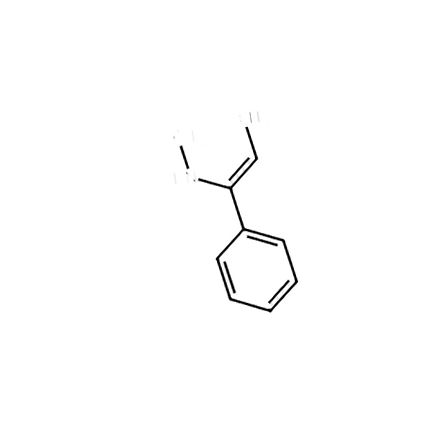 C/C=C(\NC)c1ccccc1